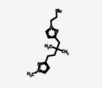 Cn1ccc(CCC(C)(C)Cc2ccn(CCC(C)(C)C)n2)n1